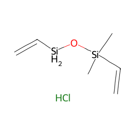 C=C[SiH2]O[Si](C)(C)C=C.Cl